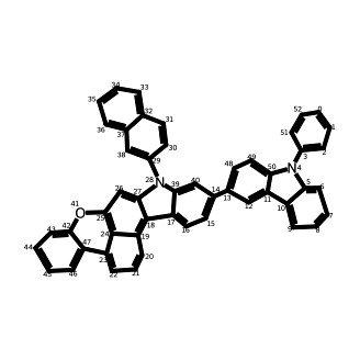 c1ccc(-n2c3ccccc3c3cc(-c4ccc5c6c7cccc8c7c(cc6n(-c6ccc7ccccc7c6)c5c4)Oc4ccccc4-8)ccc32)cc1